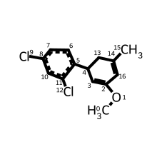 COC1=CC(c2ccc(Cl)cc2Cl)CC(C)=C1